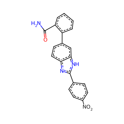 NC(=O)c1ccccc1-c1ccc2nc(-c3ccc([N+](=O)[O-])cc3)[nH]c2c1